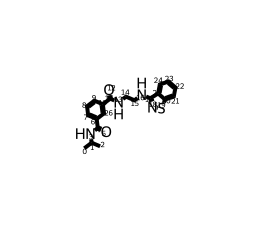 CC(C)NC(=O)c1cccc(C(=O)NCCNc2nsc3ccccc23)c1